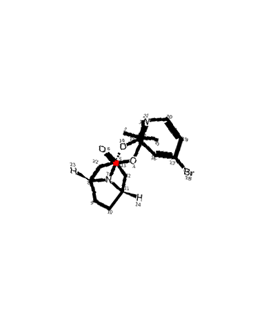 CC(C)(C)OC(=O)N1[C@@H]2CC[C@H]1C[C@@H](Oc1cc(Br)ccn1)C2